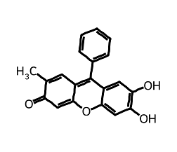 Cc1cc2c(-c3ccccc3)c3cc(O)c(O)cc3oc-2cc1=O